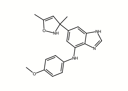 COc1ccc(Nc2cc(C3(C)C=C(C)ON3)cc3[nH]cnc23)cc1